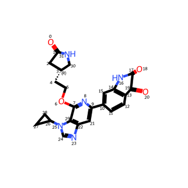 O=C1C[C@@H](CCOc2nc(-c3ccc4c(c3)NC(=O)C4=O)cc3ncn(C4CC4)c23)CN1